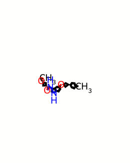 CO[C@H]1C[C@H](C(=O)Nc2c[nH]c3ccc(O[C@H]4C[C@H](c5ccc(C)cc5)C4)cc23)C1